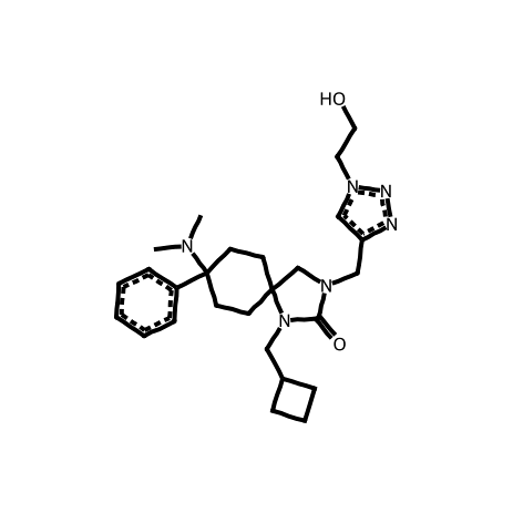 CN(C)C1(c2ccccc2)CCC2(CC1)CN(Cc1cn(CCO)nn1)C(=O)N2CC1CCC1